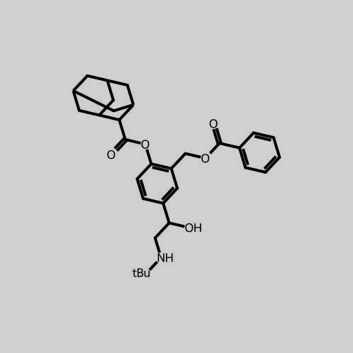 CC(C)(C)NCC(O)c1ccc(OC(=O)C2C3CC4CC(C3)CC2C4)c(COC(=O)c2ccccc2)c1